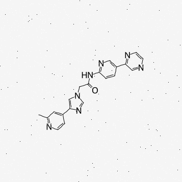 Cc1cc(-c2cn(CC(=O)Nc3ccc(-c4cnccn4)cn3)cn2)ccn1